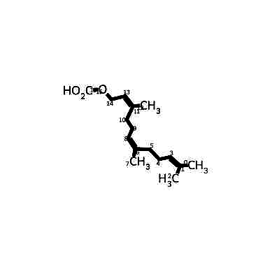 CC(C)=CCCC(C)=CCCC(C)=CCOC(=O)O